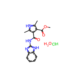 COC(=O)c1c(C)[nH]c(C)c1C(=O)Nc1nc2ccccc2[nH]1.Cl.O